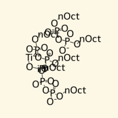 CC(C)[O][Ti+4].CCCCCCCCOP(=O)([O-])OP(=O)([O-])OCCCCCCCC.CCCCCCCCOP(=O)([O-])OP(=O)([O-])OCCCCCCCC.CCCCCCCCOP(=O)([O-])OP(=O)([O-])OCCCCCCCC